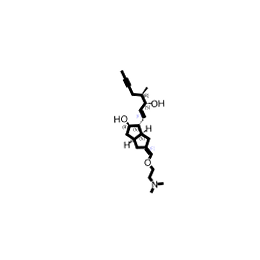 CC#CC[C@@H](C)[C@H](O)/C=C/[C@@H]1[C@H]2C/C(=C/OCCN(C)C)C[C@H]2C[C@H]1O